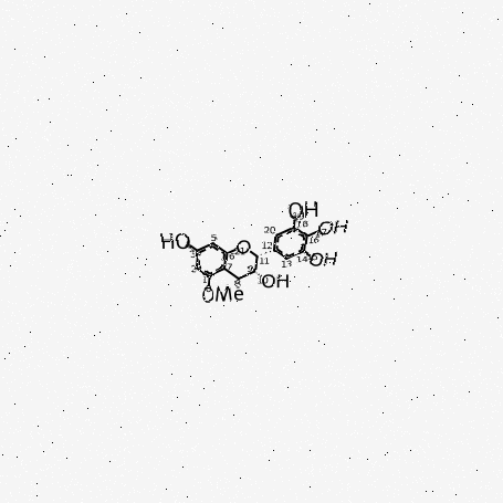 COc1cc(O)cc2c1C[C@@H](O)[C@@H](c1cc(O)c(O)c(O)c1)O2